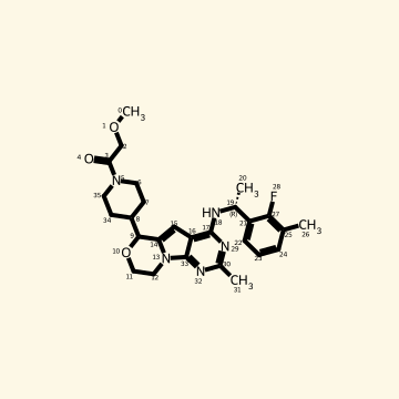 COCC(=O)N1CCC(C2OCCn3c2cc2c(N[C@H](C)c4cccc(C)c4F)nc(C)nc23)CC1